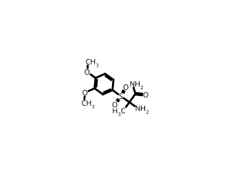 COc1ccc(S(=O)(=O)C(C)(N)C(N)=O)cc1OC